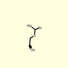 C#CCOC(O)CC